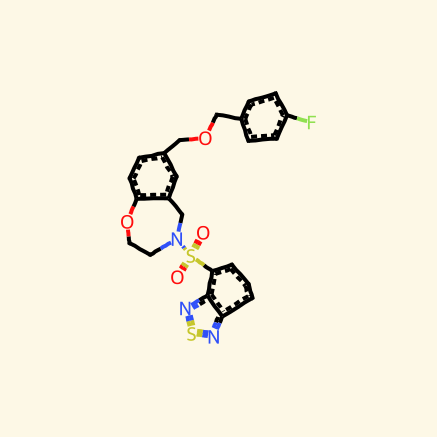 O=S(=O)(c1cccc2nsnc12)N1CCOc2ccc(COCc3ccc(F)cc3)cc2C1